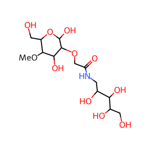 COC1C(CO)OC(O)C(OCC(=O)NCC(O)C(O)C(O)CO)C1O